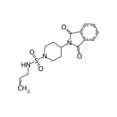 C=CCNS(=O)(=O)N1CCC(N2C(=O)c3ccccc3C2=O)CC1